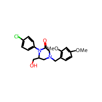 COc1ccc(CN2CC(=O)N(c3ccc(Cl)cc3)C(CO)C2)c(OC)c1